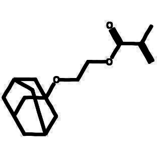 C=C(C)C(=O)OCCOC12CC3CC(CC(C3)C1)C2